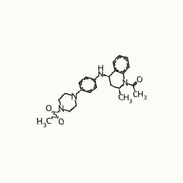 CC(=O)N1c2ccccc2[C@H](Nc2ccc(N3CCN(S(C)(=O)=O)CC3)cc2)C[C@@H]1C